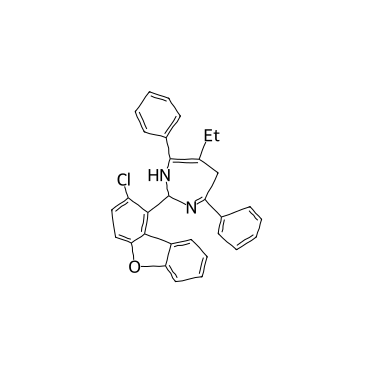 CCC1=C(c2ccccc2)NC(c2c(Cl)ccc3oc4ccccc4c23)N=C(c2ccccc2)C1